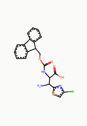 NC(c1nc(Br)cs1)C(NC(=O)OCC1c2ccccc2-c2ccccc21)C(=O)O